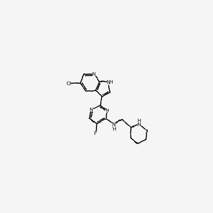 Fc1cnc(-c2c[nH]c3ncc(Cl)cc23)nc1NCC1CCCCN1